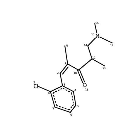 CC(=Cc1ccccc1Cl)C(=O)C(C)CN(C)C